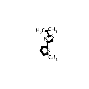 C=C(C)c1nc(-c2cccc(C)n2)cs1